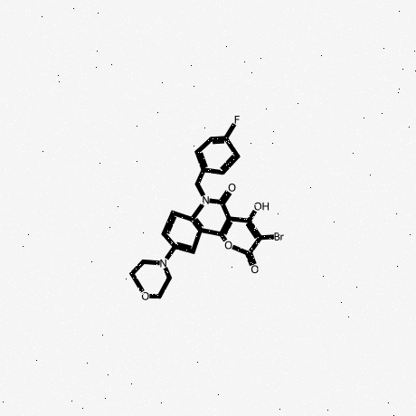 O=c1oc2c(c(O)c1Br)c(=O)n(Cc1ccc(F)cc1)c1ccc(N3CCOCC3)cc21